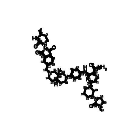 C=C1CCN(N2C(=O)c3ccc(CN4CC[C@H]5CCN(c6ccc(Nc7nc(N8CCC[C@@H](N9CCN(C)C9=O)C8)cnc7C(N)=O)cc6)C[C@H]5C4)cc3C2=O)C(=O)N1